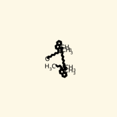 CCCC[N+]1=C(/C=C/C=C/C=C/C=C2\N(CCCCCC=O)c3ccc4ccccc4c3C2(C)C)C(C)(C)c2c1ccc1ccccc21